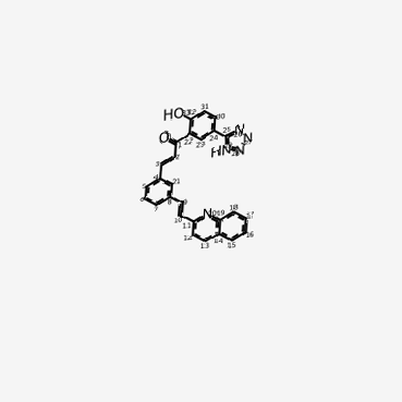 O=C(C=Cc1cccc(C=Cc2ccc3ccccc3n2)c1)c1cc(-c2nnn[nH]2)ccc1O